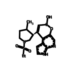 CCS(=O)(=O)N1CCC(C)[C@H](C2=CB(O)Oc3cnc4[nH]ccc4c32)C1